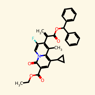 C=C(C(=O)OC(c1ccccc1)c1ccccc1)c1c(F)cn2c(=O)c(C(=O)OCC)cc(C3CC3)c2c1C